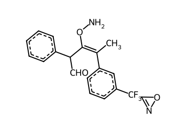 C1=NO1.CC(=C(ON)C(C=O)c1ccccc1)c1cccc(C(F)(F)F)c1